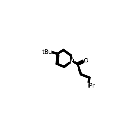 CC(C)CCC(=O)N1CC=C(C(C)(C)C)CC1